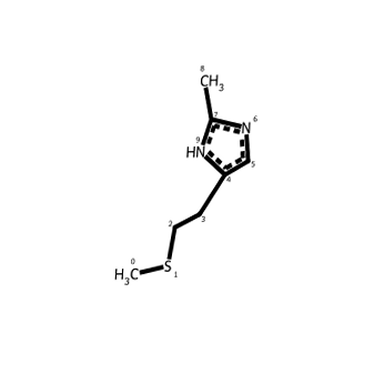 CSCCc1cnc(C)[nH]1